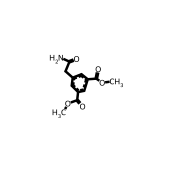 COC(=O)c1cc(CC(N)=O)cc(C(=O)OC)c1